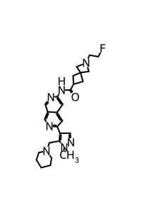 Cn1ncc(-c2cc3cc(NC(=O)C4CC5(C4)CN(CCF)C5)ncc3cn2)c1CN1CCCCC1